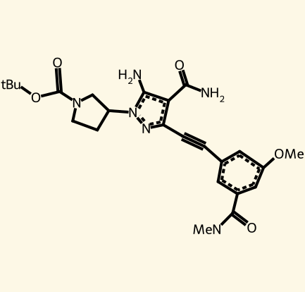 CNC(=O)c1cc(C#Cc2nn(C3CCN(C(=O)OC(C)(C)C)C3)c(N)c2C(N)=O)cc(OC)c1